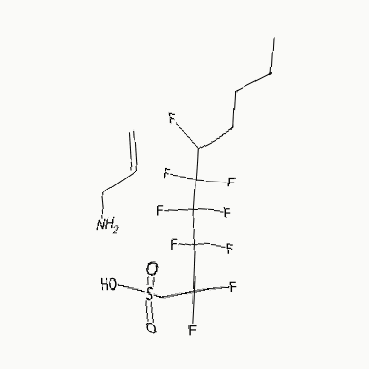 C=CCN.CCCCC(F)C(F)(F)C(F)(F)C(F)(F)C(F)(F)S(=O)(=O)O